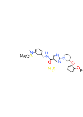 CCOc1ccccc1OC1CCCN(c2ncc(C(=O)NCc3cccc(N(C)SOC)c3)cn2)C1.S